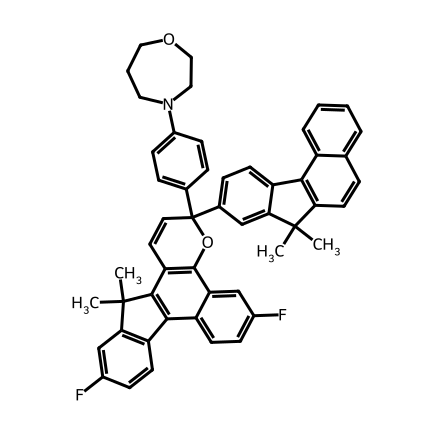 CC1(C)c2cc(C3(c4ccc(N5CCCOCC5)cc4)C=Cc4c5c(c6ccc(F)cc6c4O3)-c3ccc(F)cc3C5(C)C)ccc2-c2c1ccc1ccccc21